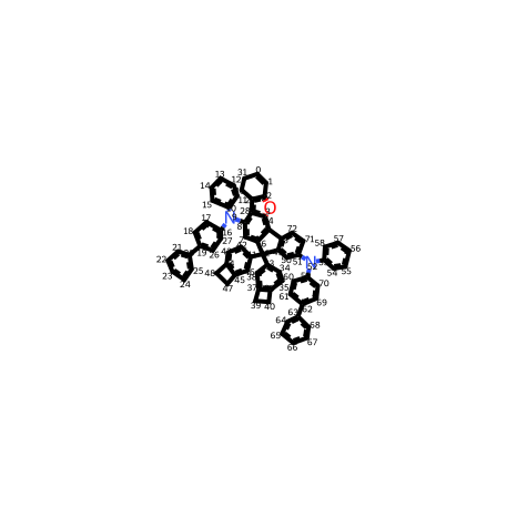 C1=Cc2oc3c4c(cc(N(c5ccccc5)c5ccc(-c6ccccc6)cc5)c3c2CC1)C(c1ccc2c(c1)CC2)(c1ccc2c(c1)CC2)c1cc(N(c2ccccc2)c2ccc(-c3ccccc3)cc2)ccc1-4